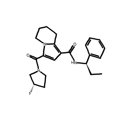 CC[C@@H](NC(=O)c1cc(C(=O)N2CC[C@H](F)C2)n2c1CCCC2)c1ccccc1